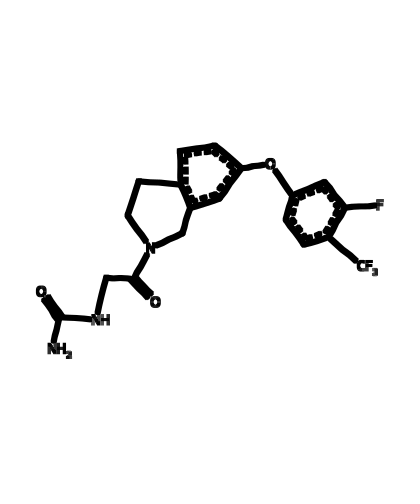 NC(=O)NCC(=O)N1CCc2ccc(Oc3ccc(C(F)(F)F)c(F)c3)cc2C1